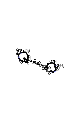 COC1/C=C\C=C(/C)C(=O)NC2=CC(=O)C(NCCOC(=O)COCC(=O)OCCNC3=C4CC(C)CC(OC)C(O)C(C)/C=C(\C)C(C(=O)ON)C(OC)/C=C\C=C(/C)C(=O)NC(=CC3=O)C4=O)=C(CC(C)CC(OC)C(O)C(C)/C=C(\C)C1OC(N)=O)C2=O